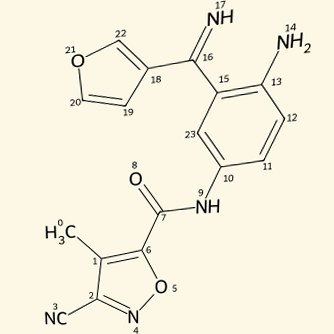 Cc1c(C#N)noc1C(=O)Nc1ccc(N)c(C(=N)c2ccoc2)c1